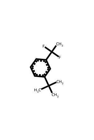 CC(C)(C)c1cccc(C(C)(F)F)c1